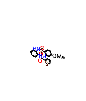 COc1ccc(S(=O)(=O)Nc2ccccc2NC(=O)c2cccs2)cc1